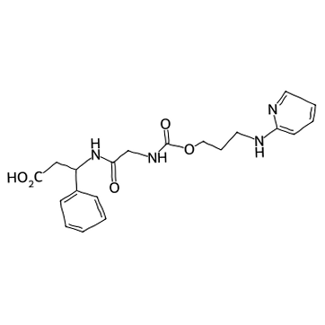 O=C(O)CC(NC(=O)CNC(=O)OCCCNc1ccccn1)c1ccccc1